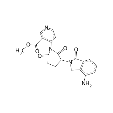 COC(=O)c1cnccc1N1C(=O)CCC(N2Cc3c(N)cccc3C2=O)C1=O